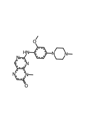 COc1cc(N2CCN(C)CC2)ccc1Nc1ncc2ncc(=O)n(C)c2n1